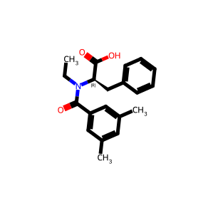 CCN(C(=O)c1cc(C)cc(C)c1)[C@H](Cc1ccccc1)C(=O)O